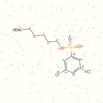 CCCCCCCCCCCCCCCOS(=O)(=O)c1cc(Cl)cc(Cl)c1